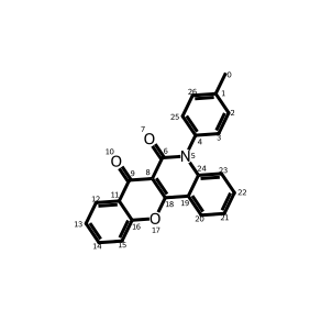 Cc1ccc(-n2c(=O)c3c(=O)c4ccccc4oc3c3ccccc32)cc1